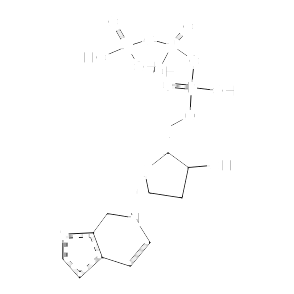 O=P(O)(O)OP(=O)(O)OP(=O)(O)OC[C@H]1O[C@@H](N2C=Cc3ccsc3C2)CC1O